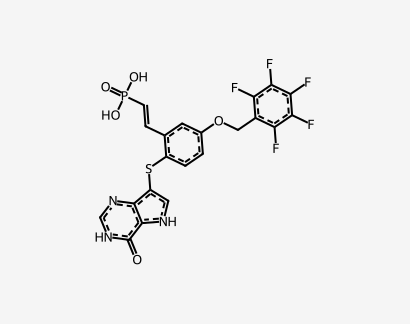 O=c1[nH]cnc2c(Sc3ccc(OCc4c(F)c(F)c(F)c(F)c4F)cc3/C=C/P(=O)(O)O)c[nH]c12